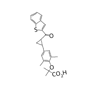 Cc1cc(C2CC2C(=O)c2cc3ccccc3s2)cc(C)c1OC(C)(C)C(=O)O